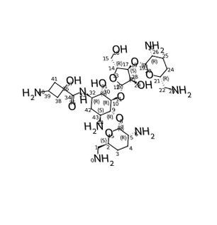 NC[C@@H]1CC[C@@H](N)[C@@H](O[C@H]2[C@H](O[C@@H]3O[C@H](CO)[C@@H](O[C@H]4O[C@@H](CN)CC[C@H]4N)[C@H]3O)[C@@H](O)[C@H](NC(=O)C3(O)CC(N)C3)C[C@@H]2N)O1